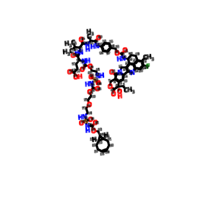 CC[C@@]1(O)C(=O)OCc2c1cc1n(c2=O)Cc2c-1nc1cc(F)c(C)c3c1c2[C@@H](NC(=O)OCc1ccc(NC(=O)[C@H](C)NC(=O)[C@@H](NC(=O)[C@H](CCC(=O)O)NC(=O)OCCNS(=O)(=O)NC(=O)OCCOCCNS(=O)(=O)NC(=O)OC[C@@H]2[C@@H]4CCC#CCC[C@@H]42)C(C)C)cc1)CC3